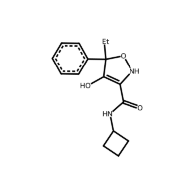 CCC1(c2ccccc2)ONC(C(=O)NC2CCC2)=C1O